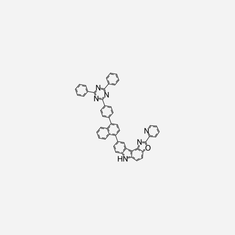 c1ccc(-c2nc(-c3ccccc3)nc(-c3ccc(-c4ccc(-c5ccc6[nH]c7ccc8oc(-c9ccccn9)nc8c7c6c5)c5ccccc45)cc3)n2)cc1